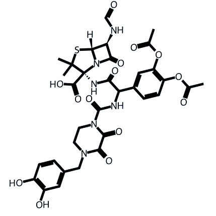 CC(=O)Oc1ccc(C(NC(=O)N2CCN(Cc3ccc(O)c(O)c3)C(=O)C2=O)C(=O)N[C@@]2(C(=O)O)N3C(=O)[C@H](NC=O)[C@H]3SC2(C)C)cc1OC(C)=O